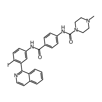 CN1CCN(C(=O)Nc2ccc(C(=O)Nc3ccc(I)c(-c4nccc5ccccc45)c3)cc2)CC1